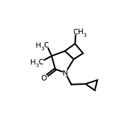 CC1CC2C1C(C)(C)C(=O)N2CC1CC1